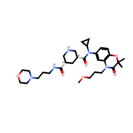 COCCCN1C(=O)C(C)(C)Oc2ccc(N(C(=O)[C@H]3CNC[C@@H](C(=O)NCCCN4CCOCC4)C3)C3CC3)cc21